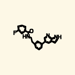 O=C(NCCc1cccc(-c2cnc3[nH]ccc3c2)c1)c1cccc(F)c1